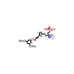 COc1cc(OC)cc(OCC#Cc2ccc(CCC(C)(N)CCP(=O)(O)O)s2)c1